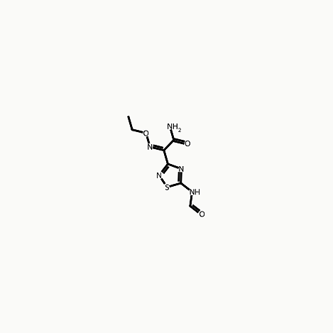 CCON=C(C(N)=O)c1nsc(NC=O)n1